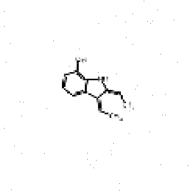 C/C=c1\c(=C/C)[nH]c2c(O)cccc12